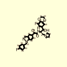 O=C(N[C@H](CN1CCCC1)[C@H](O)c1cc(F)c2c(c1)OCCO2)C(=O)c1ccc2c(cnn2Cc2ccc(F)cc2)c1